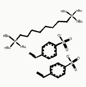 C=Cc1ccc(S(=O)(=O)[O-])cc1.C=Cc1ccc(S(=O)(=O)[O-])cc1.CCCC[P+](CCCC)(CCCC)CCCCCCCC[P+](CCCC)(CCCC)CCCC